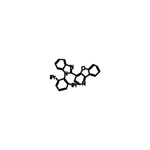 CC(C)c1cccc(C(C)C)c1-n1c(-c2ccnc3c2oc2ccccc23)nc2ccccc21